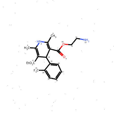 CCOC(=O)C1=C(C)NC(C)=C(C(=O)OCCN)C1c1ccccc1C(F)(F)F